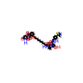 Cc1ncsc1-c1ccc(CNC(=O)[C@@H]2C[C@@H](O)CN2C(=O)C(NC(=O)CCCCCCCCCCOc2cccc3c2C(=O)N(C2CCC(=O)NC2=O)C3=O)C(C)(C)C)cc1